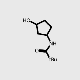 CC(C)(C)C(=O)NC1CCC(O)C1